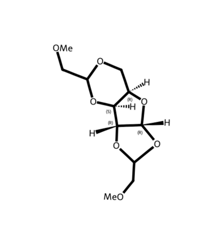 COCC1OC[C@H]2O[C@@H]3OC(COC)O[C@@H]3[C@H]2O1